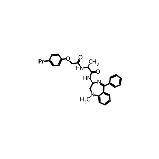 CC(C)c1ccc(OCC(=O)N[C@@H](C)C(=O)N[C@@H]2CN(C)c3ccccc3C(c3ccccc3)=N2)cc1